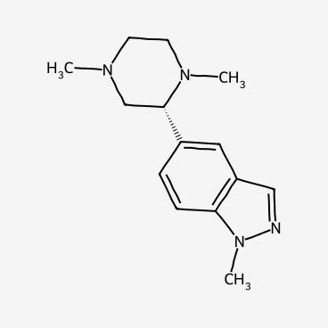 CN1CCN(C)[C@H](c2ccc3c(cnn3C)c2)C1